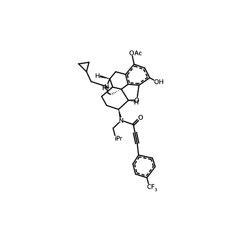 CC(=O)Oc1cc(O)c2c3c1C[C@@H]1[C@@H]4CC[C@H](N(CC(C)C)C(=O)C#Cc5ccc(C(F)(F)F)cc5)[C@H](O2)[C@]34CCN1CC1CC1